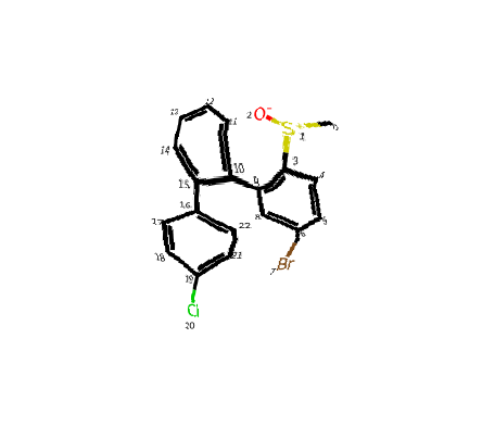 C[S+]([O-])c1ccc(Br)cc1-c1ccccc1-c1ccc(Cl)cc1